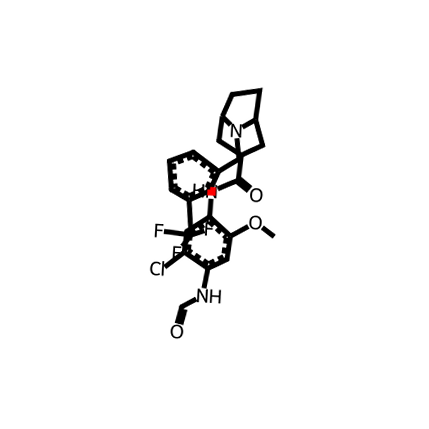 COc1cc(NC=O)c(Cl)cc1NC(=O)C1CC2CCC(C1)N2Cc1cccc(C(F)(F)F)c1